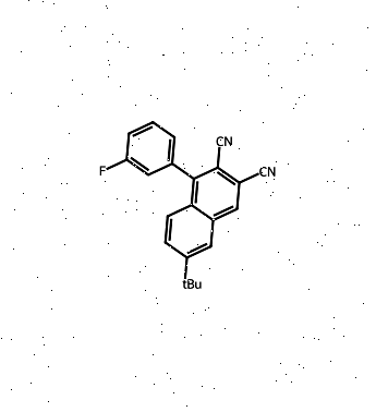 CC(C)(C)c1ccc2c(-c3cccc(F)c3)c(C#N)c(C#N)cc2c1